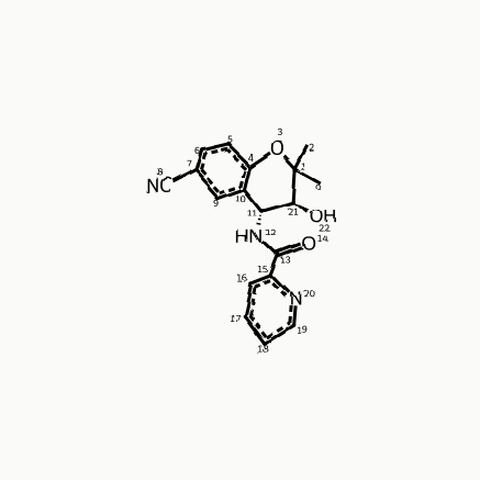 CC1(C)Oc2ccc(C#N)cc2[C@@H](NC(=O)c2ccccn2)[C@@H]1O